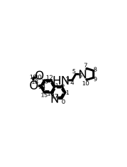 c1cc(NCCN2CCCC2)c2cc3c(cc2n1)OCO3